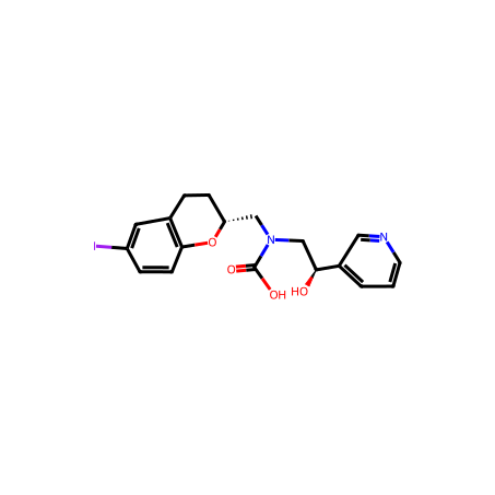 O=C(O)N(C[C@H]1CCc2cc(I)ccc2O1)C[C@H](O)c1cccnc1